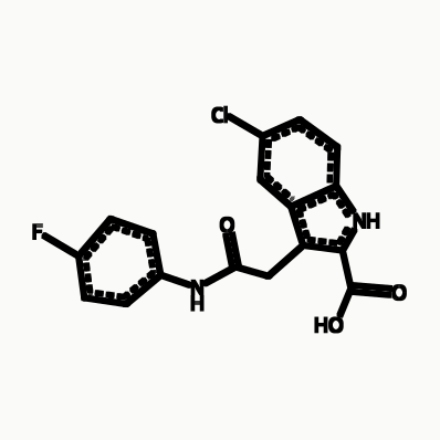 O=C(Cc1c(C(=O)O)[nH]c2ccc(Cl)cc12)Nc1ccc(F)cc1